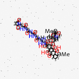 COc1cccc2c1C(=O)c1c(O)c3c(c(O)c1C2=O)C[C@@](O)(C(=O)NCCNC(=O)CNC(=O)CNC(=O)CNC(=O)CCN1C(=O)CCC1=O)C[C@@H]3OC1C[C@H]2[C@H](O[C@@H]3[C@@H](OC)OCCN32)[C@H](C)O1